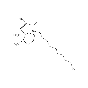 CC(C)CCCCCCCCCOC(=O)C(=CC1(C(=O)O)CCCCC1C(=O)O)C(C)(C)C